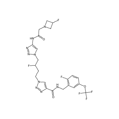 O=C(CN1CC(F)C1)Nc1cn(CC(F)CCn2cc(C(=O)NCc3cc(OC(F)(F)F)ccc3F)nn2)nn1